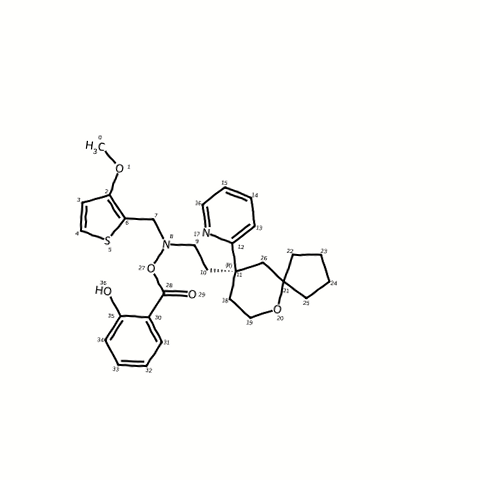 COc1ccsc1CN(CC[C@@]1(c2ccccn2)CCOC2(CCCC2)C1)OC(=O)c1ccccc1O